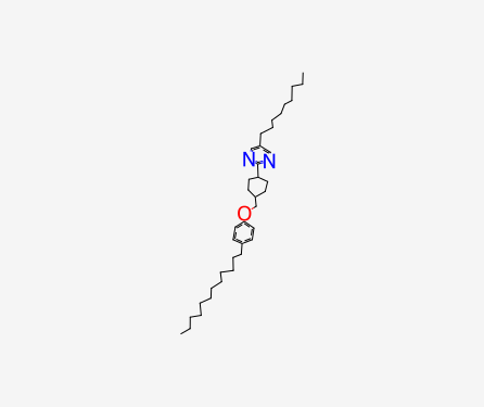 CCCCCCCCCCCCc1ccc(OCC2CCC(c3ncc(CCCCCCCCC)cn3)CC2)cc1